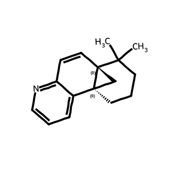 CC1(C)CCC[C@@]23C[C@@]12C=Cc1ncccc13